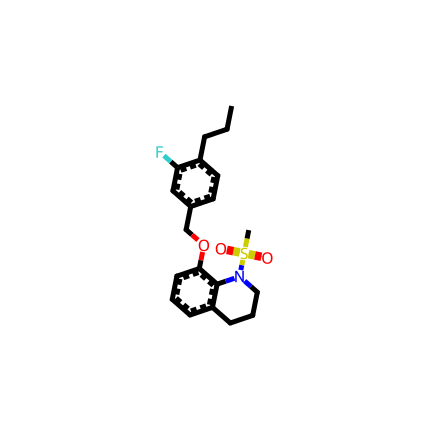 CCCc1ccc(COc2cccc3c2N(S(C)(=O)=O)CCC3)cc1F